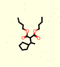 CCCCOC(=O)C(C(=O)OCCCC)C(C)C1CCCC1